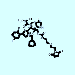 C[C@H](O)C(=O)N(C[C@@H]1CNC[C@@H]1F)[C@@H](c1nc(-c2cc(F)ccc2F)cn1Cc1ccccc1)C(C)(C)COC(=O)NCCOCCN1C(=O)C=CC1=O